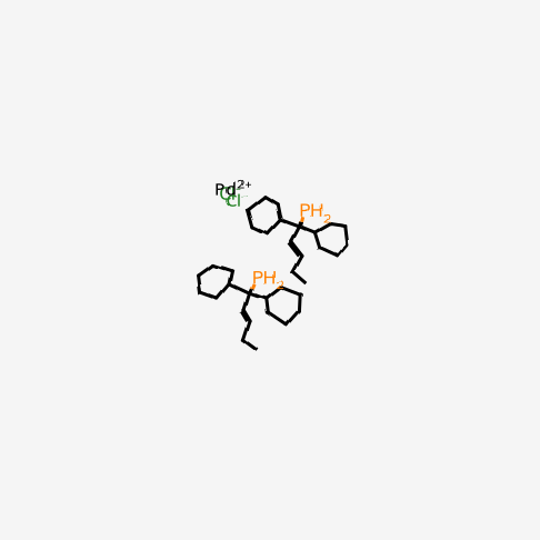 CCC=CC(P)(C1CCCCC1)C1CCCCC1.CCC=CC(P)(C1CCCCC1)C1CCCCC1.[Cl-].[Cl-].[Pd+2]